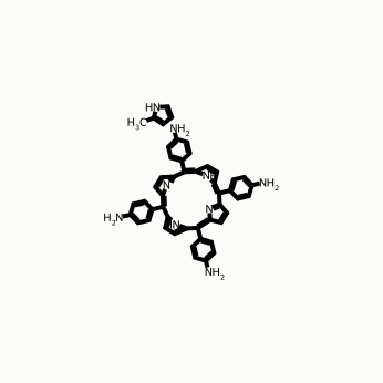 Cc1ccc[nH]1.Nc1ccc(-c2c3nc(c(-c4ccc(N)cc4)c4ccc([nH]4)c(-c4ccc(N)cc4)c4nc(c(-c5ccc(N)cc5)c5ccc2[nH]5)C=C4)C=C3)cc1